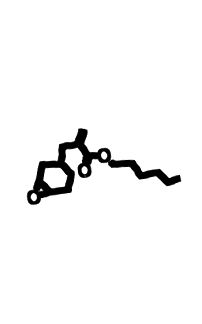 C=C(CC1CCC2OC2C1)C(=O)OCCCCCC